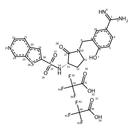 N=C(N)c1ccc(O)c(CN2CC[C@H](NS(=O)(=O)c3cc4ccncc4s3)C2=O)c1.O=C(O)C(F)(F)F.O=C(O)C(F)(F)F